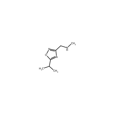 CNCc1noc(C(C)C)n1